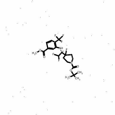 COC(=O)c1ccc(C(F)(F)F)c(N[C@@H](C(F)F)C2(F)CCN(C(=O)OC(C)(C)C)CC2)c1